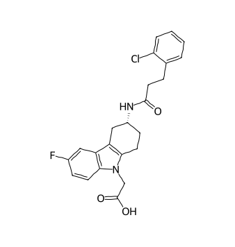 O=C(O)Cn1c2c(c3cc(F)ccc31)C[C@H](NC(=O)CCc1ccccc1Cl)CC2